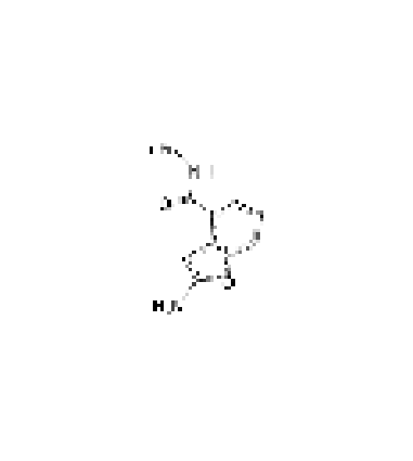 CCCNC(=O)c1cccc2oc(N)cc12